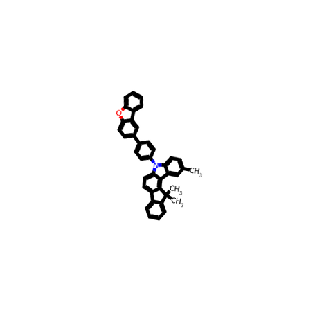 Cc1ccc2c(c1)c1c3c(ccc1n2-c1ccc(-c2ccc4oc5ccccc5c4c2)cc1)-c1ccccc1C3(C)C